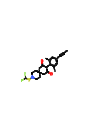 CC#Cc1cc(C)c(C2C(=O)CC3(CCN(SC(F)F)CC3)CC2=O)c(C)c1